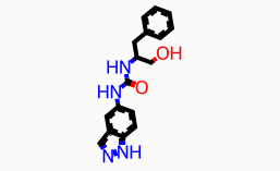 O=C(Nc1ccc2[nH]ncc2c1)NC(CO)Cc1ccccc1